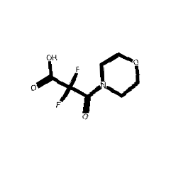 O=C(O)C(F)(F)C(=O)N1CCOCC1